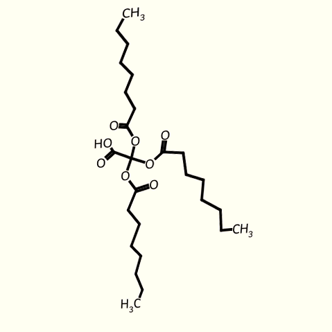 CCCCCCCC(=O)OC(OC(=O)CCCCCCC)(OC(=O)CCCCCCC)C(=O)O